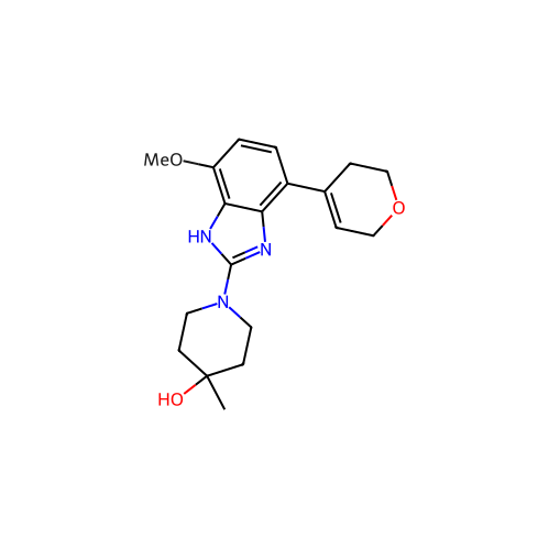 COc1ccc(C2=CCOCC2)c2nc(N3CCC(C)(O)CC3)[nH]c12